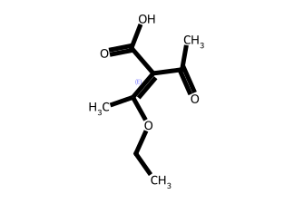 CCO/C(C)=C(\C(C)=O)C(=O)O